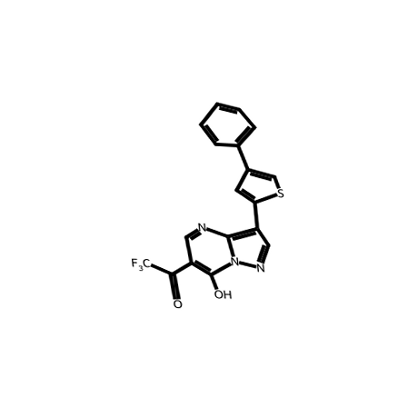 O=C(c1cnc2c(-c3cc(-c4ccccc4)cs3)cnn2c1O)C(F)(F)F